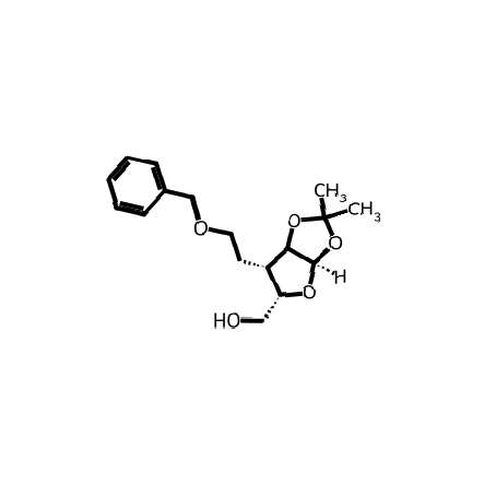 CC1(C)OC2[C@H](O[C@H](CO)[C@@H]2CCOCc2ccccc2)O1